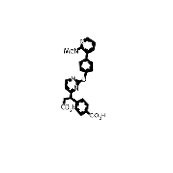 CNc1ncccc1-c1ccc(Oc2nccc(C(CC(=O)O)c3ccc(C(=O)O)cc3)n2)cc1